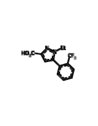 CCn1nc(C(=O)O)cc1-c1ccccc1C(F)(F)F